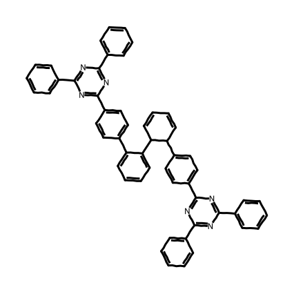 C1=CC(c2ccc(-c3nc(-c4ccccc4)nc(-c4ccccc4)n3)cc2)C(c2ccccc2-c2ccc(-c3nc(-c4ccccc4)nc(-c4ccccc4)n3)cc2)C=C1